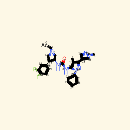 CC(=O)CN1C[C@@H](NC(=O)Nc2c(C)c(-c3cnn(C)c3)nn2-c2ccccc2)[C@H](c2ccc(F)c(F)c2)C1